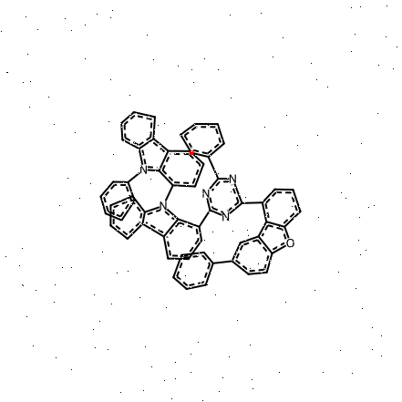 c1ccc(-c2ccc3oc4cccc(-c5nc(-c6ccccc6)nc(-c6cccc7c8ccccc8n(-c8cccc9c%10ccccc%10n(-c%10ccccc%10)c89)c67)n5)c4c3c2)cc1